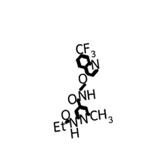 CCC(=O)Nc1cc(C(=O)NCCOc2ccnc3cc(C(F)(F)F)ccc23)cc(C)n1